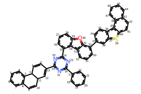 C1=CC2c3ccccc3C=CC2C=C1c1nc(-c2ccccc2)nc(-c2cccc3oc4c(-c5ccc6c(c5)sc5ccc7ccccc7c56)cccc4c23)n1